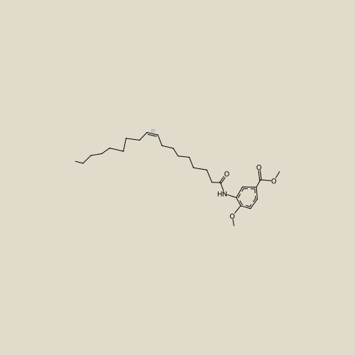 CCCCCCCC/C=C\CCCCCCCC(=O)Nc1cc(C(=O)OC)ccc1OC